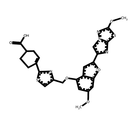 COc1cc(OCc2csc(C3=CCC(C(=O)O)CC3)n2)c2cc(-c3cn4nc(OC)sc4n3)oc2c1